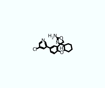 NC1=NC2(CO1)c1cc(-c3cncc(Cl)c3)ccc1OC1CCCC[C@H]12